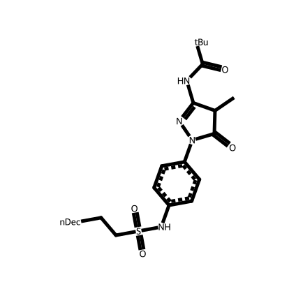 CCCCCCCCCCCCS(=O)(=O)Nc1ccc(N2N=C(NC(=O)C(C)(C)C)C(C)C2=O)cc1